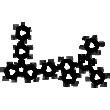 c1ccc(-c2ccc(-n3c4ccccc4c4ccc(-c5ccc(-c6ccc(-c7cc(-c8ccccc8)nc(-c8ccccc8)n7)c7ccccc67)cc5)cc43)cc2)cc1